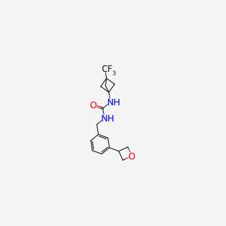 O=C(NCc1cccc(C2COC2)c1)NC12CC(C(F)(F)F)(C1)C2